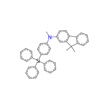 CN(c1ccc([Si](c2ccccc2)(c2ccccc2)c2ccccc2)cc1)c1ccc2c(c1)C(C)(C)c1ccccc1-2